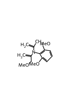 C=C(C)N(C(=C)COC)c1c(OC)cccc1OC